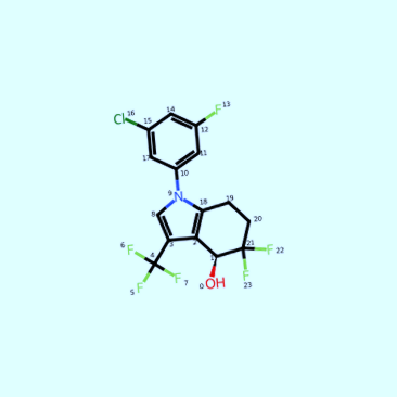 O[C@H]1c2c(C(F)(F)F)cn(-c3cc(F)cc(Cl)c3)c2CCC1(F)F